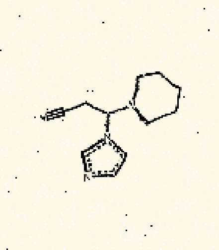 N#CCC(N1CCCCC1)n1ccnc1